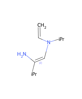 C=CN(/C=C(\N)C(C)C)C(C)C